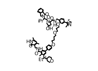 CCN(c1cc(-c2ccc(OCCCCOCCCOc3cc(-c4scnc4C)ccc3CNC(=O)C3C[C@@H](O)CN3C(=O)C(C(C)C)N3Cc4ccccc4C3=O)cc2)cc(C(=O)NCc2c(C)cc(C)[nH]c2=O)c1C)C1CCOCC1